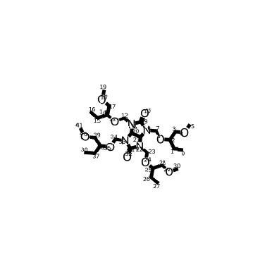 CCC(COC)OCN1C(=O)N(COC(CC)COC)C2C1N(COC(CC)COC)C(=O)N2COC(CC)COC